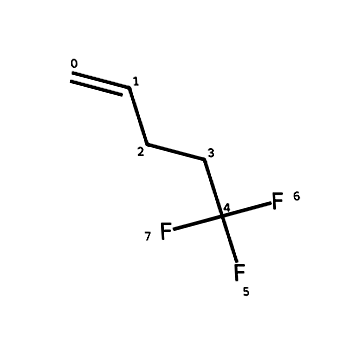 C=CCCC(F)(F)F